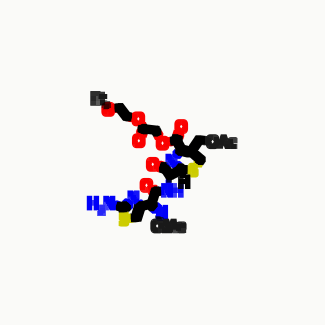 CCOCCOC(=O)COC(=O)C1=C(COC(C)=O)CS[C@@H]2[C@H](NC(=O)C(=NOC)c3csc(N)n3)C(=O)N12